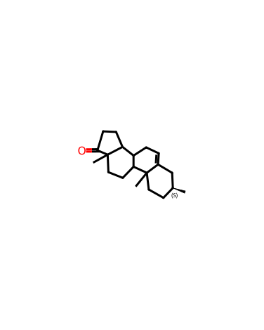 C[C@H]1CCC2(C)C(=CCC3C4CCC(=O)C4(C)CCC32)C1